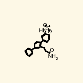 CS(=O)(=O)Nc1cccc(-c2ccc(-c3ccccc3)cc2CCC(N)=O)c1